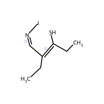 CC/C(S)=C(/C=N\I)CC